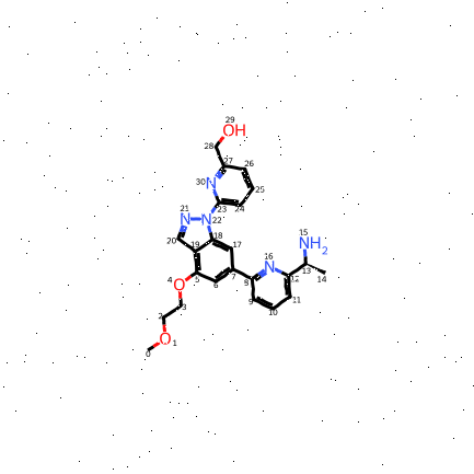 COCCOc1cc(-c2cccc([C@H](C)N)n2)cc2c1cnn2-c1cccc(CO)n1